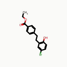 CCOC(=O)c1ccc(CCc2cc(Br)ccc2O)cc1